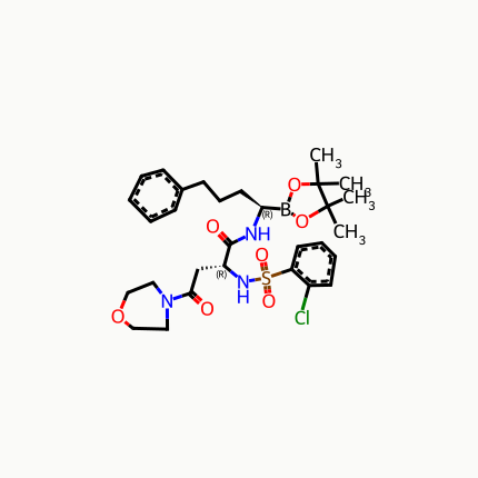 CC1(C)OB([C@H](CCCc2ccccc2)NC(=O)[C@@H](CC(=O)N2CCOCC2)NS(=O)(=O)c2ccccc2Cl)OC1(C)C